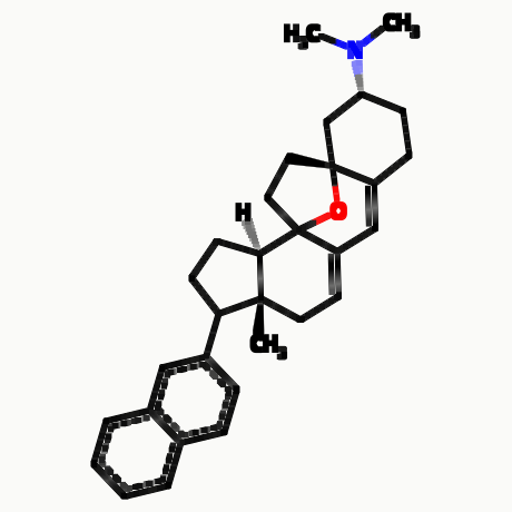 CN(C)[C@@H]1CCC2=CC3=CC[C@]4(C)C(c5ccc6ccccc6c5)CC[C@H]4C34CC[C@]2(C1)O4